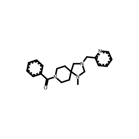 CN1CN(Cc2ccccn2)CC12CCN(C(=O)c1ccccc1)CC2